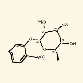 C[C@H]1O[C@H](Oc2ccccc2N)[C@H](O)[C@@H](O)[C@H]1O